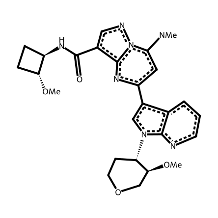 CNc1cc(-c2cn([C@H]3CCOC[C@@H]3OC)c3ncccc23)nc2c(C(=O)N[C@@H]3CC[C@H]3OC)cnn12